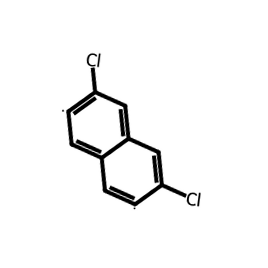 Clc1[c]cc2c[c]c(Cl)cc2c1